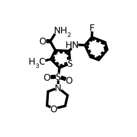 Cc1c(S(=O)(=O)N2CCOCC2)sc(Nc2ccccc2F)c1C(N)=O